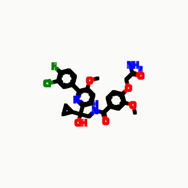 COc1cc(C(=O)NCC(O)(c2ccc(OC)c(-c3ccc(F)c(Cl)c3)n2)C2CC2)ccc1OCC(N)=O